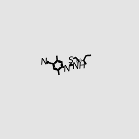 CCC(C)[C@H]1CSC(=Nc2cc(C)c(C#N)cc2C)N1